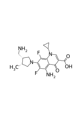 C[C@H]1CN(c2c(F)c(N)c3c(=O)c(C(=O)O)cn(C4CC4)c3c2F)C[C@H]1CN